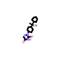 CC(C#N)(c1ccccc1)c1ccc(-n2ncc(=O)[nH]c2=O)cc1